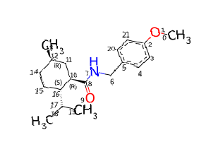 COc1ccc(CNC(=O)[C@@H]2C[C@H](C)CC[C@H]2C(C)C)cc1